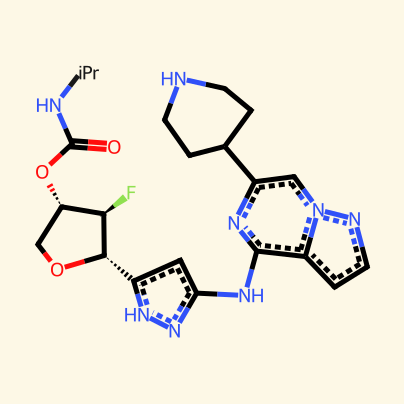 CC(C)NC(=O)O[C@H]1CO[C@@H](c2cc(Nc3nc(C4CCNCC4)cn4nccc34)n[nH]2)[C@@H]1F